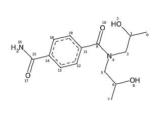 CC(O)CN(CC(C)O)C(=O)c1ccc(C(N)=O)cc1